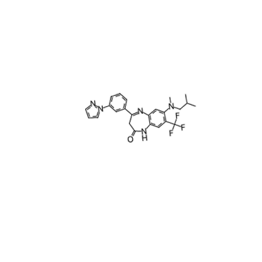 CC(C)CN(C)c1cc2c(cc1C(F)(F)F)NC(=O)CC(c1cccc(-n3cccn3)c1)=N2